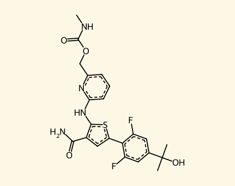 CNC(=O)OCc1cccc(Nc2sc(-c3c(F)cc(C(C)(C)O)cc3F)cc2C(N)=O)n1